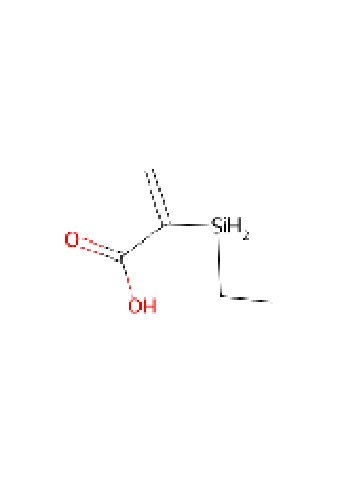 C=C([SiH2]CC)C(=O)O